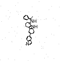 C[C@@H](N[C@@H]1CCCc2c1[nH]c1ccc(-c3ccc4c(ccn4C)c3)cc21)c1ccccc1